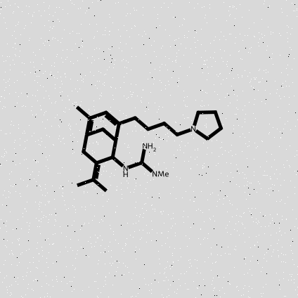 CNC(N)NC1C(=C(C)C)CC2=C(C)C=C(CCCCN3CCCC3)C1C2